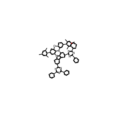 Cc1cc(C)c(-c2ccc3c(c2)B2c4c(cc(-c5c(C)cc(C)cc5C)cc4-n4c5ccc(-c6nc(-c7ccccc7)nc(-c7ccccc7)n6)cc5c5cc(-c6nc(-c7ccccc7)nc(-c7ccccc7)n6)cc2c54)O3)c(C)c1